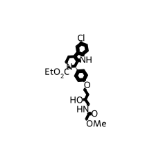 CCOC(=O)N1CCc2c([nH]c3ccc(Cl)cc23)[C@@H]1c1ccc(OCCC(O)CNC(=O)COC)cc1